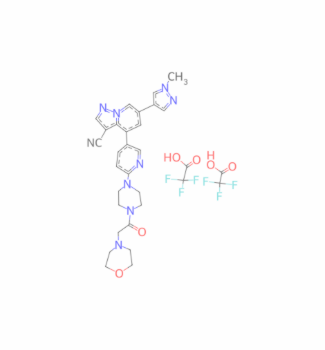 Cn1cc(-c2cc(-c3ccc(N4CCN(C(=O)CN5CCOCC5)CC4)nc3)c3c(C#N)cnn3c2)cn1.O=C(O)C(F)(F)F.O=C(O)C(F)(F)F